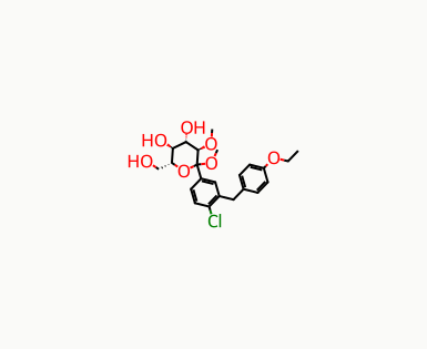 CCOc1ccc(Cc2cc(C3(OC)O[C@H](CO)[C@@H](O)[C@H](O)[C@H]3OC)ccc2Cl)cc1